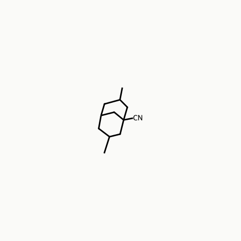 CC1CC2CC(C)CC(C#N)(C1)C2